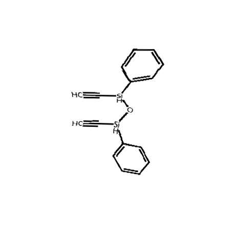 C#C[SiH](O[SiH](C#C)c1ccccc1)c1ccccc1